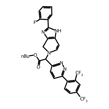 CCCCOC(=O)C(c1ccc(-c2ccc(C(F)(F)F)cc2C(F)(F)F)nn1)N1C=Cc2[nH]c(-c3ccccc3F)nc2C1